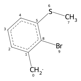 [CH2]c1cccc(SC)c1Br